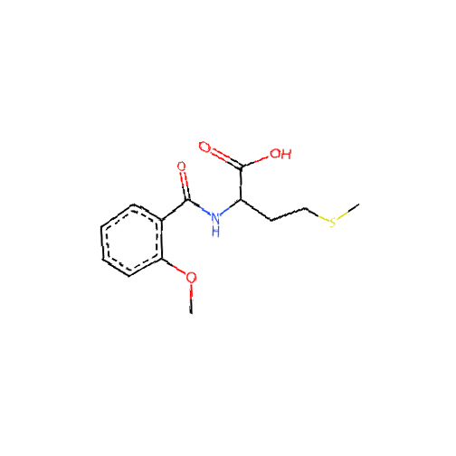 COc1ccccc1C(=O)NC(CCSC)C(=O)O